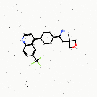 CC1(CC(N)C2CCC(c3ccnc4ccc(C(F)(F)F)cc34)CC2)COC1